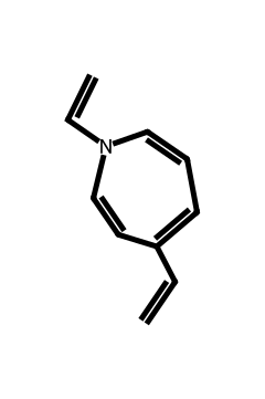 C=CC1=CC=CN(C=C)C=C1